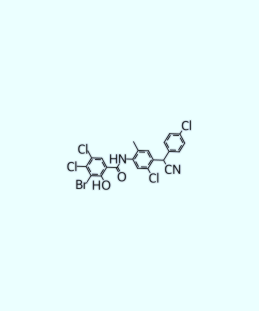 Cc1cc(C(C#N)c2ccc(Cl)cc2)c(Cl)cc1NC(=O)c1cc(Cl)c(Cl)c(Br)c1O